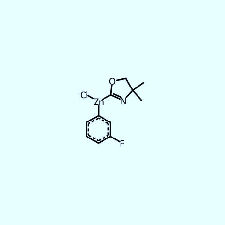 CC1(C)CO[C]([Zn]([Cl])[c]2cccc(F)c2)=N1